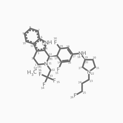 C[C@@H]1Cc2c([nH]c3ccccc23)[C@@H](C2C(F)=CC(N[C@H]3CCN(CCCF)C3)=CC2F)N1CC(F)(F)F